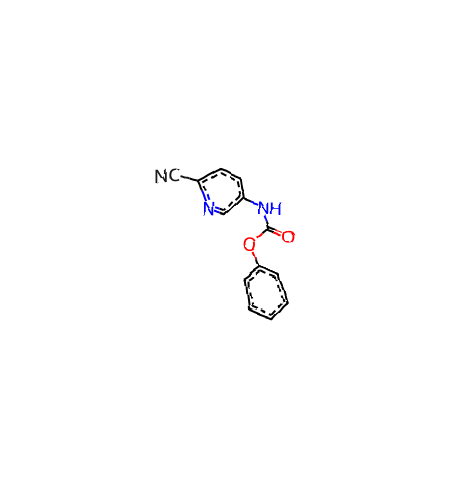 N#Cc1ccc(NC(=O)Oc2ccccc2)cn1